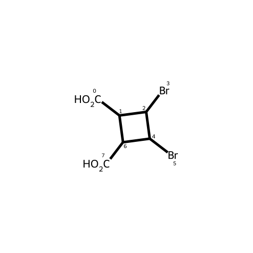 O=C(O)C1C(Br)C(Br)C1C(=O)O